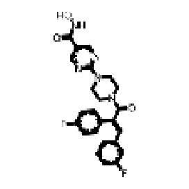 O=C(NO)c1cnc(N2CCN(C(=O)C(=Cc3cccc(F)c3)c3ccc(F)cc3)CC2)nc1